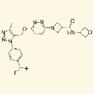 Cc1nnn(-c2ccc(C(F)F)cc2)c1COc1ccc(N2CC(C(=O)NC3COC3)C2)nn1